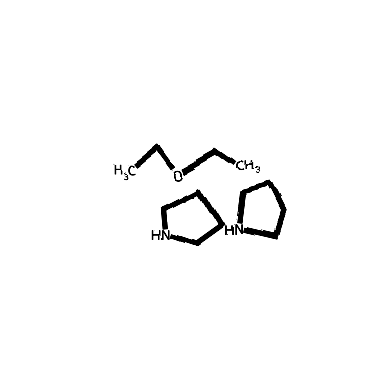 C1CCNC1.C1CCNC1.CCOCC